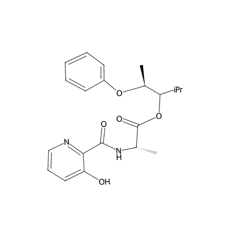 CC(C)C(OC(=O)[C@H](C)NC(=O)c1ncccc1O)[C@H](C)Oc1ccccc1